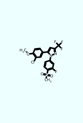 COc1ccc(-c2cc(C(F)(F)F)nn2-c2ccc(S(C)(=O)=O)c(F)c2)cc1Cl